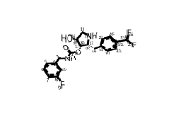 O=C(NCc1cccc(F)c1)O[C@@H]1[C@@H](O)CN[C@@H]1Cc1ccc(C(F)F)cc1